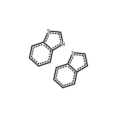 c1ccc2sccc2c1.c1ccc2scnc2c1